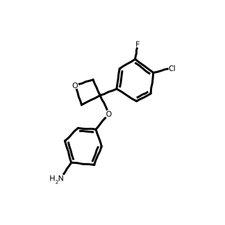 Nc1ccc(OC2(c3ccc(Cl)c(F)c3)COC2)cc1